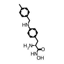 Cc1ccc(CNc2ccc(C[C@H](N)C(=O)NO)cc2)cc1